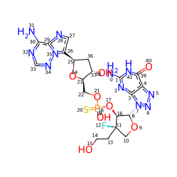 Nc1nc2c(nnn2[C@@H]2OC[C@](F)(CCO)[C@H]2OP(O)(=S)OC[C@H]2O[C@@H](c3cnc4c(N)ncnn34)C[C@@H]2O)c(=O)[nH]1